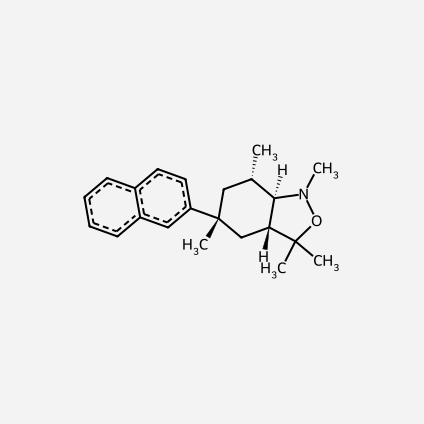 C[C@H]1C[C@@](C)(c2ccc3ccccc3c2)C[C@@H]2[C@@H]1N(C)OC2(C)C